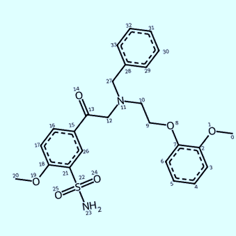 COc1ccccc1OCCN(CC(=O)c1ccc(OC)c(S(N)(=O)=O)c1)Cc1ccccc1